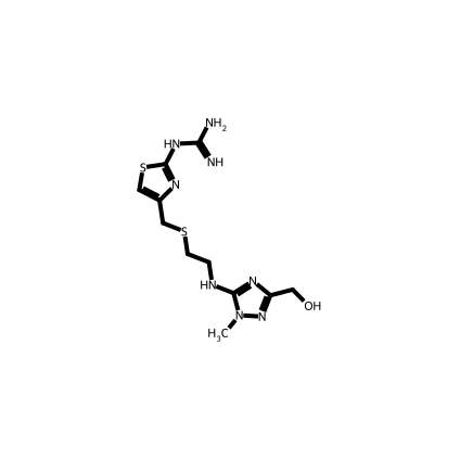 Cn1nc(CO)nc1NCCSCc1csc(NC(=N)N)n1